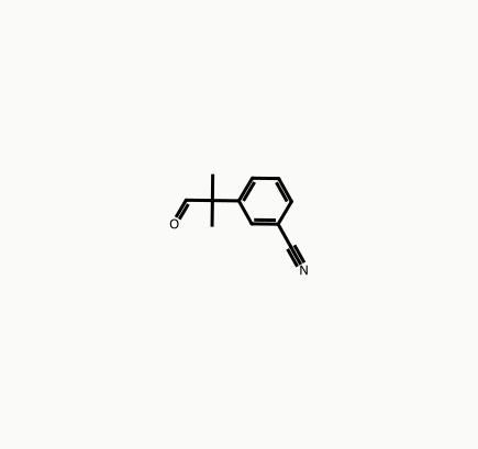 CC(C)(C=O)c1cccc(C#N)c1